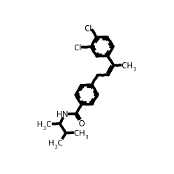 CC(=CCc1ccc(C(=O)NC(C)C(C)C)cc1)c1ccc(Cl)c(Cl)c1